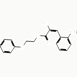 CC(=O)/C(=C/c1ccccc1C#N)C(=O)OCCSc1ccccc1